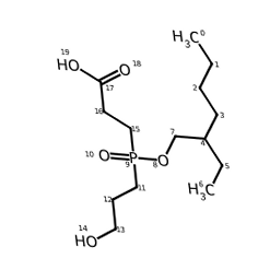 CCCCC(CC)COP(=O)(CCCO)CCC(=O)O